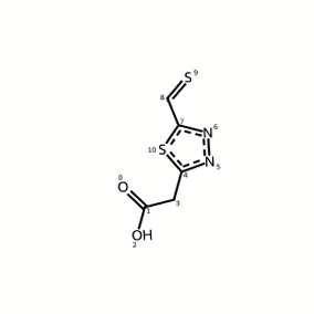 O=C(O)Cc1nnc([C]=S)s1